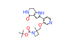 CC(C)(C)OC(=O)N1CCC1(C)COc1cnccc1-c1cc2c([nH]1)CCNC2=O